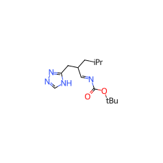 CC(C)CC(/C=N/C(=O)OC(C)(C)C)Cc1nnc[nH]1